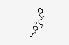 C=CCOc1ccc(OC(CCN(C)Cc2ccccc2)C2CC2)cc1